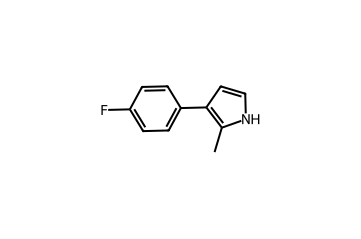 Cc1[nH]ccc1-c1ccc(F)cc1